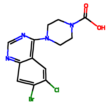 O=C(O)N1CCN(c2ncnc3cc(Br)c(Cl)cc23)CC1